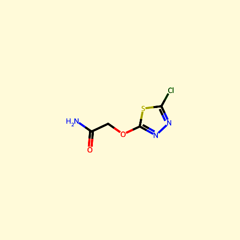 NC(=O)COc1nnc(Cl)s1